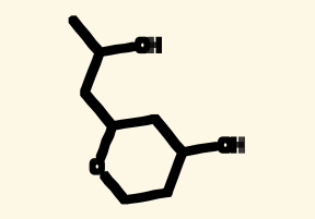 CC(O)CC1CC(O)CCO1